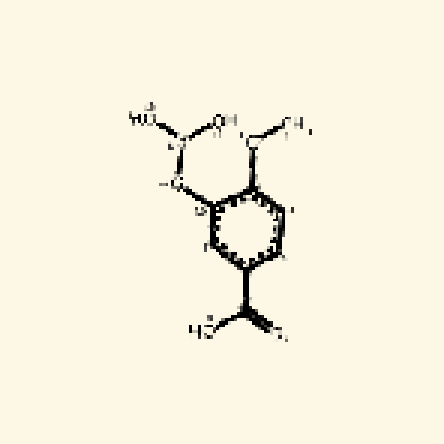 COc1ccc(C(=O)O)cc1OB(O)O